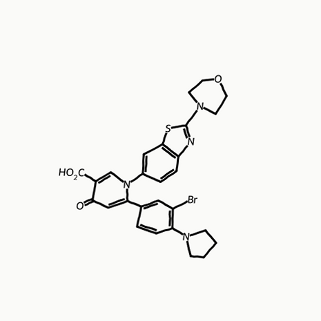 O=C(O)c1cn(-c2ccc3nc(N4CCOCC4)sc3c2)c(-c2ccc(N3CCCC3)c(Br)c2)cc1=O